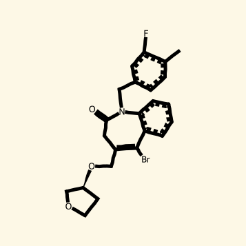 Cc1ccc(CN2C(=O)CC(CO[C@H]3CCOC3)=C(Br)c3ccccc32)cc1F